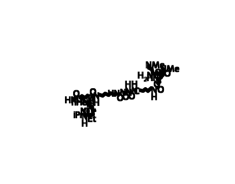 CCCCCCCNC(=O)OCC(COC(=O)NCCCCCCNC(=O)NC(=O)NC(=O)NCCCCCCNC(=O)OCC(COC(=O)NC)NC(=O)C(N)CCNC)NC(=O)CCC(C)(C#N)CC(CC)C(=O)NC(C)C